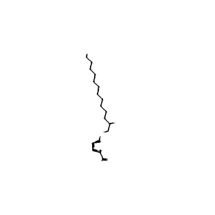 CCCCCCCCCCCCC(C)COc1ccc(C(=O)O)o1